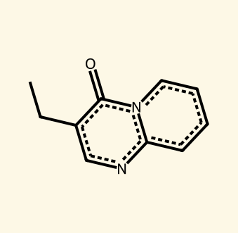 CCc1cnc2ccccn2c1=O